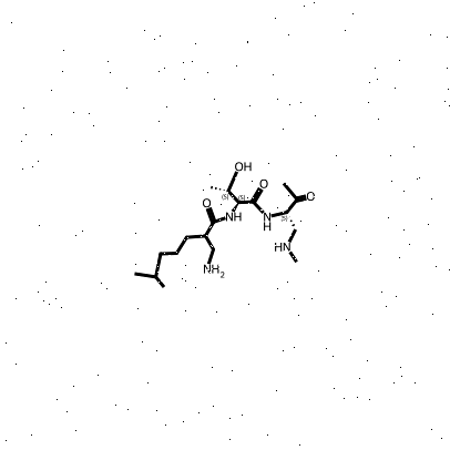 CNC[C@H](NC(=O)[C@@H](NC(=O)C(CN)CCCC(C)C)[C@H](C)O)C(C)=O